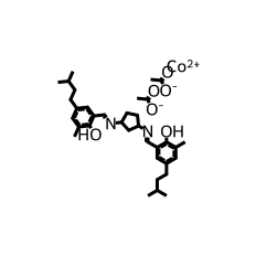 CC(=O)[O-].CC(=O)[O-].Cc1cc(CCC(C)C)cc(C=NC2CCC(N=Cc3cc(CCC(C)C)cc(C)c3O)C2)c1O.[Co+2]